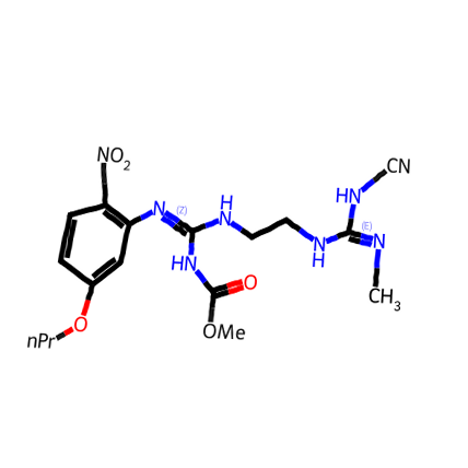 CCCOc1ccc([N+](=O)[O-])c(/N=C(/NCCN/C(=N\C)NC#N)NC(=O)OC)c1